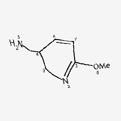 COC1=NCC(N)C=C1